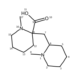 CN1CCCCC1CC1(C(=O)O)CCCCN1C